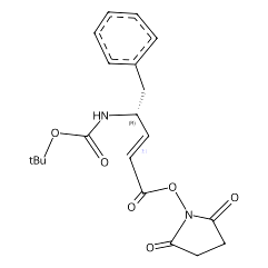 CC(C)(C)OC(=O)N[C@@H](/C=C/C(=O)ON1C(=O)CCC1=O)Cc1ccccc1